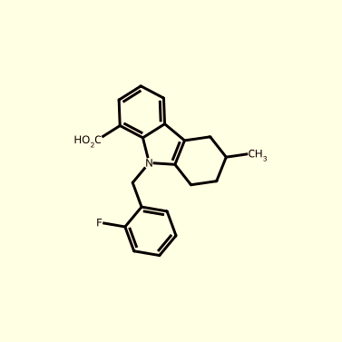 CC1CCc2c(c3cccc(C(=O)O)c3n2Cc2ccccc2F)C1